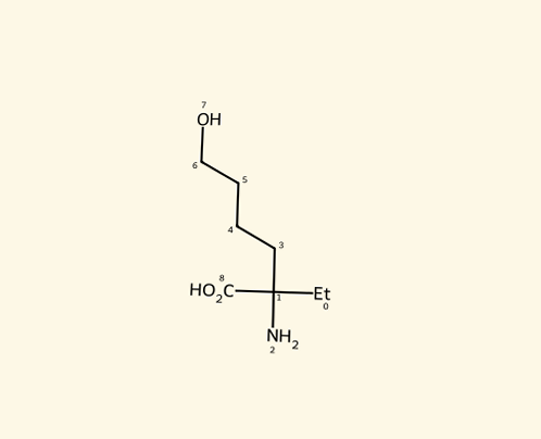 CCC(N)(CCCCO)C(=O)O